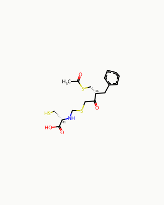 CC(=O)SC[C@H](Cc1ccccc1)C(=O)CSCN[C@@H](CS)C(=O)O